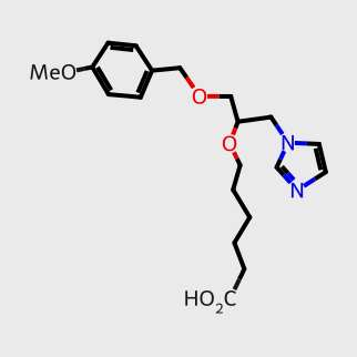 COc1ccc(COCC(Cn2ccnc2)OCCCCCC(=O)O)cc1